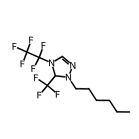 CCCCCCN1N=CN(C(F)(F)C(F)(F)F)C1C(F)(F)F